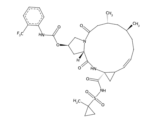 C[C@H]1CC/C=C\C2C[C@@]2(C(=O)NS(=O)(=O)C2(C)CC2)NC(=O)[C@@H]2C[C@@H](OC(=O)Nc3ccccc3C(F)(F)F)CN2C(=O)C[C@H](C)C1